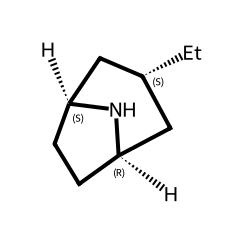 CC[C@@H]1C[C@H]2CC[C@@H](C1)N2